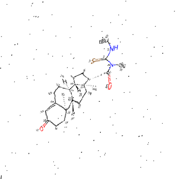 CC(C)(C)NC(=S)N(C(=O)[C@H]1CC[C@H]2[C@@H]3CCC4=CC(=O)CC[C@]4(C)[C@H]3CC[C@]12C)C(C)(C)C